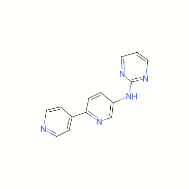 c1cnc(Nc2ccc(-c3ccncc3)nc2)nc1